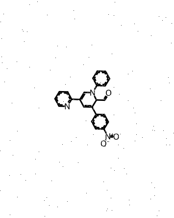 O=CC1C(c2ccc([N+](=O)[O-])cc2)=CC(c2ccccn2)=CN1c1ccccc1